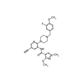 COc1ccc(CN2CCN(c3ncc(C#N)cc3NC(=O)c3cn(C)nc3OC)CC2)cc1F